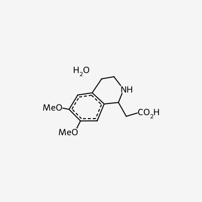 COc1cc2c(cc1OC)C(CC(=O)O)NCC2.O